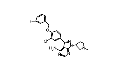 CN1CCC(n2nc(-c3ccc(OCc4cccc(F)c4)c(Cl)c3)c3c(N)ncnc32)C1